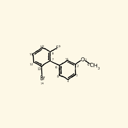 COc1cccc(-c2c(F)cccc2Br)c1